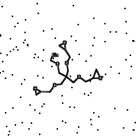 CCC(C)COCC(COCC1CO1)(COCC1CO1)COCC1CO1